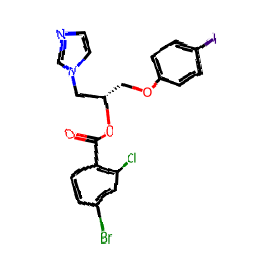 O=C(O[C@@H](COc1ccc(I)cc1)Cn1ccnc1)c1ccc(Br)cc1Cl